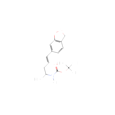 CC(C/C=C/c1ccc2c(c1)OOC2)N(C)C(=O)OC(C)(C)C